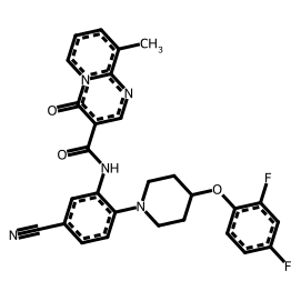 Cc1cccn2c(=O)c(C(=O)Nc3cc(C#N)ccc3N3CCC(Oc4ccc(F)cc4F)CC3)cnc12